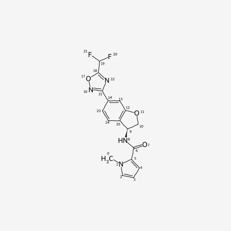 Cn1cccc1C(=O)N[C@@H]1COc2cc(-c3noc(C(F)F)n3)ccc21